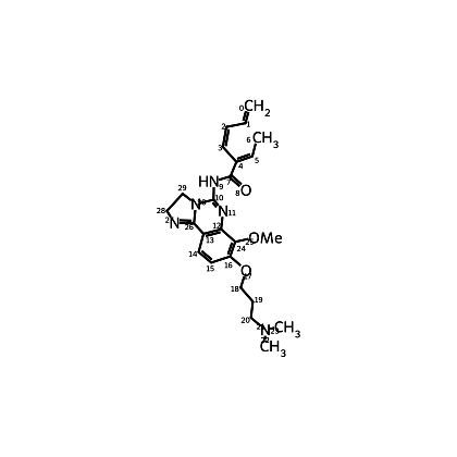 C=C/C=C\C(=C/C)C(=O)NC1=Nc2c(ccc(OCCCN(C)C)c2OC)C2=NCCN12